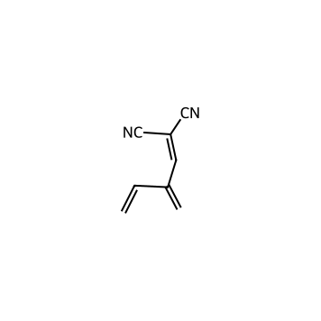 C=CC(=C)C=C(C#N)C#N